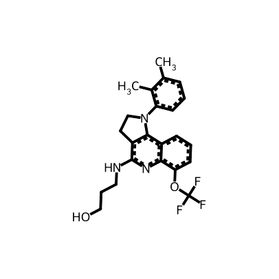 Cc1cccc(N2CCc3c(NCCCO)nc4c(OC(F)(F)F)cccc4c32)c1C